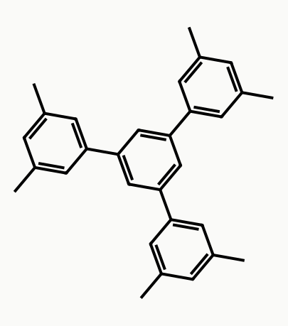 Cc1cc(C)cc(-c2cc(-c3cc(C)cc(C)c3)cc(-c3cc(C)cc(C)c3)c2)c1